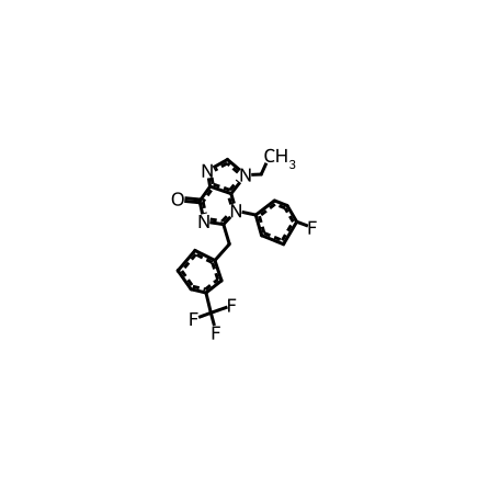 CCn1cnc2c(=O)nc(Cc3cccc(C(F)(F)F)c3)n(-c3ccc(F)cc3)c21